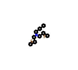 c1ccc(-c2ccc(-c3cccc(N(c4cccc(-c5cccc6c5sc5ccccc56)c4)c4cccc(-c5cccc6c5sc5ccccc56)c4)c3)cc2)cc1